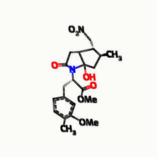 COC(=O)[C@H](Cc1ccc(C)c(OC)c1)N1C(=O)CC2[C@H](C[N+](=O)[O-])[C@@H](C)CC21O